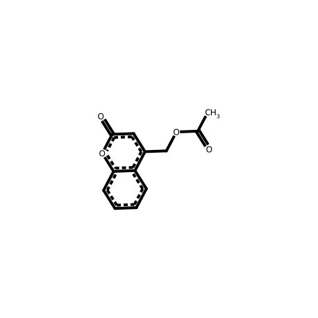 CC(=O)OCc1cc(=O)oc2ccccc12